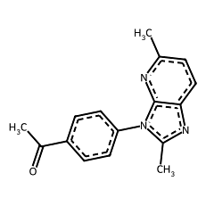 CC(=O)c1ccc(-n2c(C)nc3ccc(C)nc32)cc1